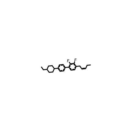 CC/C=C\Cc1ccc(-c2ccc(C3CCC(CC)CC3)cc2)c(F)c1F